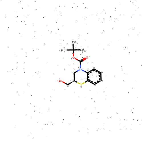 CC(C)(C)OC(=O)N1C[C@H](CO)Sc2ccccc21